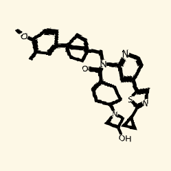 COc1ccc(C23CCC(CN(C(=O)C4CCC(N5CC(O)C5)CC4)c4cc(-c5cnc(C6CC6)s5)ccn4)(CC2)CC3)cc1C